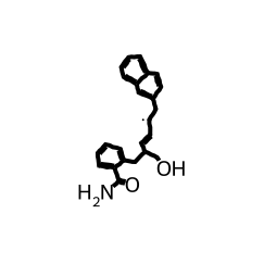 NC(=O)c1ccccc1CC(/C=C/[CH]Cc1ccc2ccccc2c1)CO